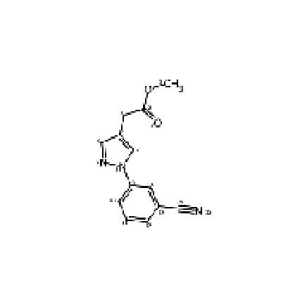 COC(=O)Cc1cnn(-c2cccc(C#N)c2)c1